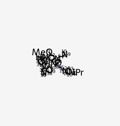 COc1cc(N(C)CCN(C)C)c(NC(=O)/C=C/CN2CCN(C(C)C)CC2)cc1Nc1nccc(-c2cn(C)c3ccccc23)n1